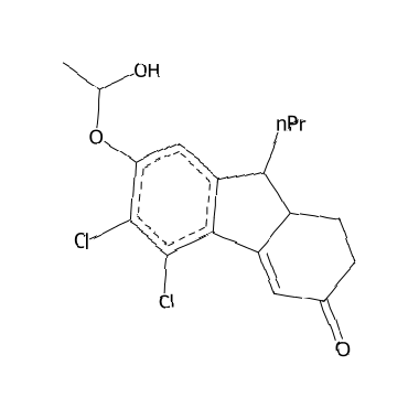 CCCC1c2cc(OC(C)O)c(Cl)c(Cl)c2C2=CC(=O)CCC21